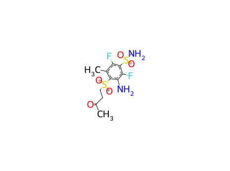 CC(=O)CCS(=O)(=O)c1c(C)c(F)c(S(N)(=O)=O)c(F)c1N